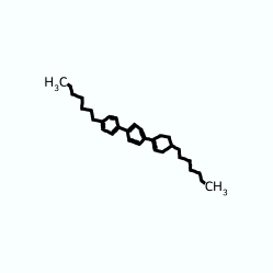 CCCCCCCc1ccc(-c2ccc(C3=CCC(CCCCCCC)CC3)cc2)cc1